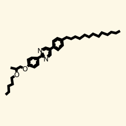 CCCCCCCCCCCCCc1ccc(-c2cnc(-c3ccc(OCC(C)OCCCCC)cc3)nc2)cc1